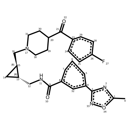 Cc1nc(-c2cccc(C(=O)NC[C@@H]3C[C@H]3CN3CCC(C(=O)c4ccc(F)cc4)CC3)c2)no1